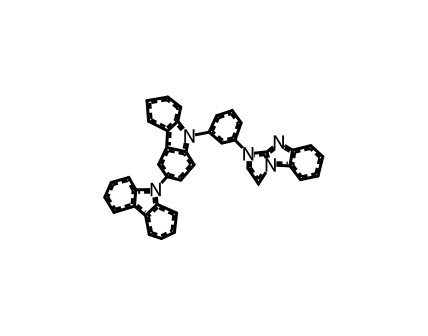 c1cc(-n2ccn3c4ccccc4nc23)cc(-n2c3ccccc3c3cc(-n4c5ccccc5c5ccccc54)ccc32)c1